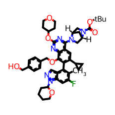 Cc1c(F)cc2c(cnn2C2CCCCO2)c1-c1c(C2CC2)cc2c(N3C[C@@H]4C[C@H]3CN4C(=O)OC(C)(C)C)nc(OC3CCOCC3)nc2c1OCc1ccc(CO)cc1